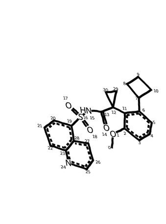 COc1cccc(C2CCC2)c1C1(C(=O)NS(=O)(=O)c2cccc3ncccc23)CC1